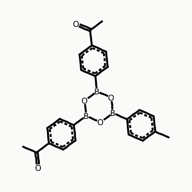 CC(=O)c1ccc(B2OB(c3ccc(C)cc3)OB(c3ccc(C(C)=O)cc3)O2)cc1